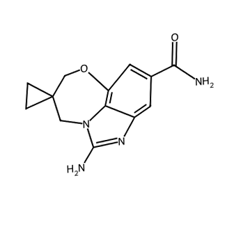 NC(=O)c1cc2c3c(c1)nc(N)n3CC1(CC1)CO2